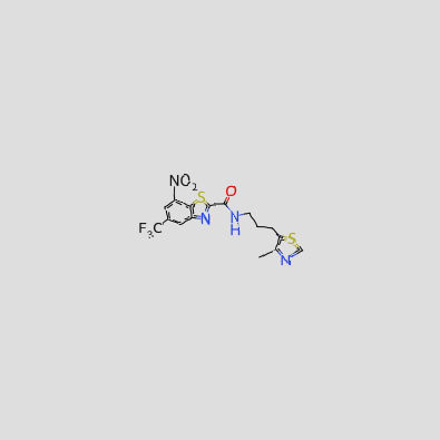 Cc1ncsc1CCCNC(=O)c1nc2cc(C(F)(F)F)cc([N+](=O)[O-])c2s1